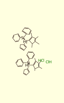 CC1=C(C)C(C)[C]([Hf]([C]2=CC=CC2)=[Si](c2ccccc2)c2ccccc2)=C1C.CC1=C(C)C(C)[C]([Hf]([C]2=CC=CC2)=[Si](c2ccccc2)c2ccccc2)=C1C.Cl.Cl